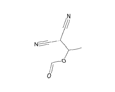 CC(OC=O)C(C#N)C#N